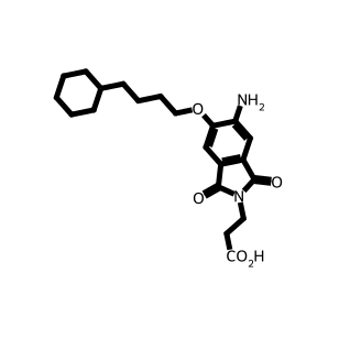 Nc1cc2c(cc1OCCCCC1CCCCC1)C(=O)N(CCC(=O)O)C2=O